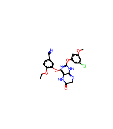 CCOc1ccc(C#N)cc1OC1=C2NC(=O)CN=C2NC(Oc2cc(Cl)cc(OC)c2)=N1